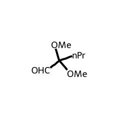 CCCC(C=O)(OC)OC